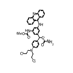 COC(=O)Nc1cc(Nc2c3ccccc3nc3ccccc23)cc(C(OC(N)=O)c2ccc(N(CCCl)CCCl)cc2)c1